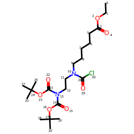 CCOC(=O)CCCCCN(CCN(C(=O)OC(C)(C)C)C(=O)OC(C)(C)C)C(=O)Cl